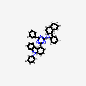 c1ccc(-c2nc(-c3cccc4c3c3ccccc3n4-c3ccccc3)nc(-n3c4ccccc4c4c5ccccc5ccc43)n2)cc1